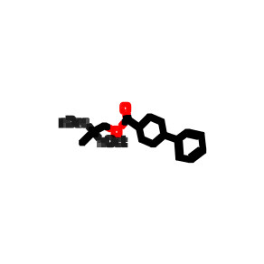 CCCCCCCCCCC(C)(CCCCCCCC)COC(=O)C1CCC(c2ccccc2)CC1